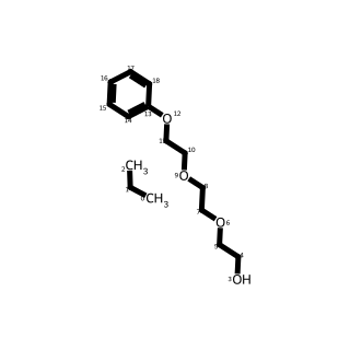 CCC.OCCOCCOCCOc1ccccc1